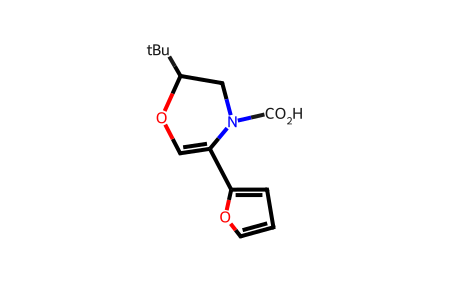 CC(C)(C)C1CN(C(=O)O)C(c2ccco2)=CO1